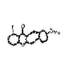 COc1ccc2cc3oc4cccc(F)c4c(=O)c3cc2c1